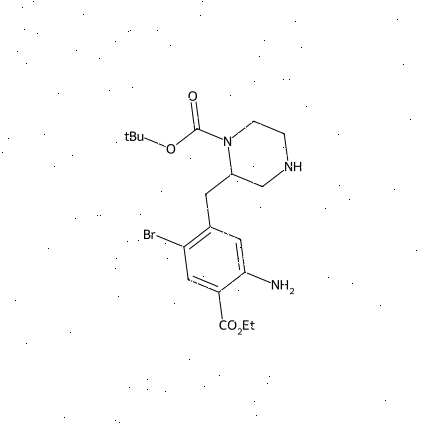 CCOC(=O)c1cc(Br)c(CC2CNCCN2C(=O)OC(C)(C)C)cc1N